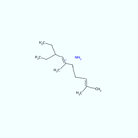 CCC(/C=C(\C)CCC=C(C)C)CC.N